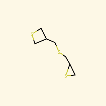 C1SCC1CSCC1CS1